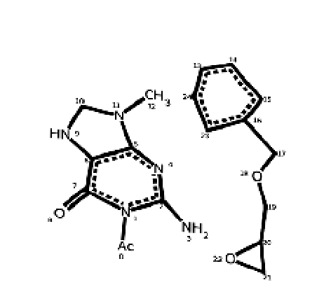 CC(=O)n1c(N)nc2c(c1=O)NCN2C.c1ccc(COCC2CO2)cc1